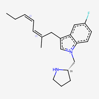 CC/C=C\C=C(\C)Cc1cn(C[C@@H]2CCCN2)c2ccc(F)cc12